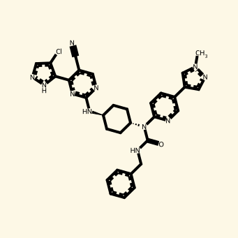 Cn1cc(-c2ccc(N(C(=O)NCc3ccccc3)[C@H]3CC[C@H](Nc4ncc(C#N)c(-c5[nH]ncc5Cl)n4)CC3)nc2)cn1